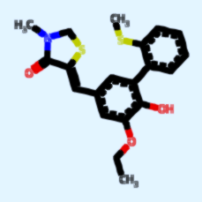 CCOc1cc(/C=C2\SCN(C)C2=O)cc(-c2ccccc2SC)c1O